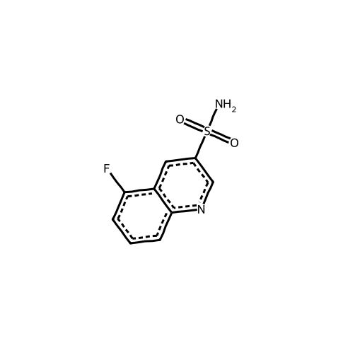 NS(=O)(=O)c1cnc2cccc(F)c2c1